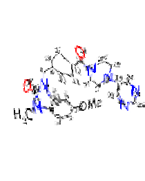 COc1ccc2c(c1)n(CC1CCC(C(=O)N3CCN(c4cncnc4)CC3)CC1)c(=O)n2C